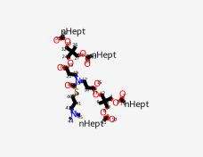 CCCCCCCC(=O)OCC(C)(COC(=O)CCCCCCC)COC(=O)CCN(CCC(=O)OCC(C)(COC(=O)CCCCCCC)COC(=O)CCCCCCC)C(=O)SCCCN(C)C